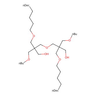 CCCCCCCCCCCCCCOCC(CO)(COCCCC)COCC(CO)(COCCCC)COCCCCCCCCCCCCCC